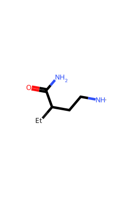 CCC(CC[NH])C(N)=O